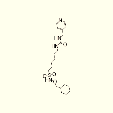 O=C(NCCCCCCS(=O)(=O)NOCC1CCCCC1)NCc1ccncc1